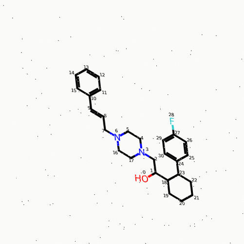 OC(CN1CCN(C/C=C/c2ccccc2)CC1)C1CCCCC1c1ccc(F)cc1